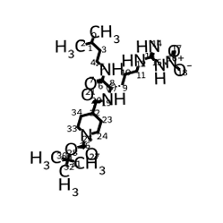 CC(C)C[CH]NC(=O)[C@H](CCCNC(=N)N[N+](=O)[O-])NC(=O)C1CCN(C(=O)OC(C)(C)C)CC1